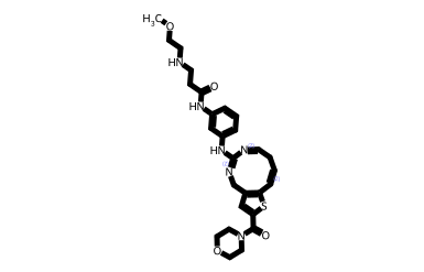 COCCNCCC(=O)Nc1cccc(NC2=N/Cc3cc(C(=O)N4CCOCC4)sc3/C=C\C/C=N\2)c1